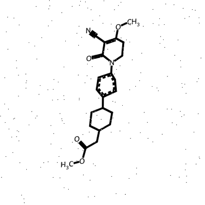 COC(=O)CC1CCC(c2ccc(N3CCC(OC)=C(C#N)C3=O)cc2)CC1